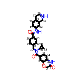 O=C1COc2cc(C(=O)N(Cc3ccc(C(=O)Nc4ccc5c(c4)CNCC5)cc3)C3CC3)ccc2N1